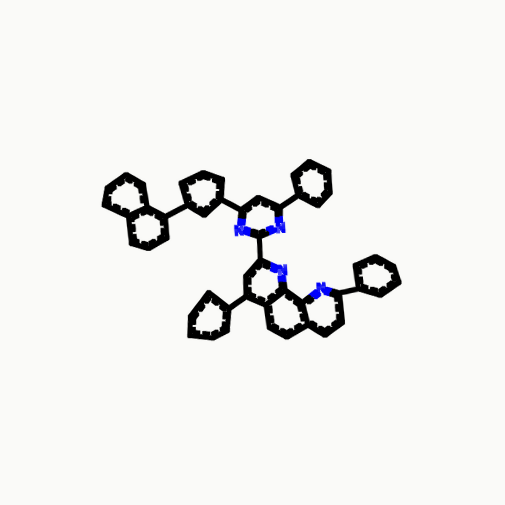 c1ccc(-c2cc(-c3cccc(-c4cccc5ccccc45)c3)nc(-c3cc(-c4ccccc4)c4ccc5ccc(-c6ccccc6)nc5c4n3)n2)cc1